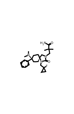 CN(C)[C@]1(c2ccccc2)CC[C@@]2(CC1)CN(CC(C)(C)C(N)=O)C(=O)N2CC1(F)CC1